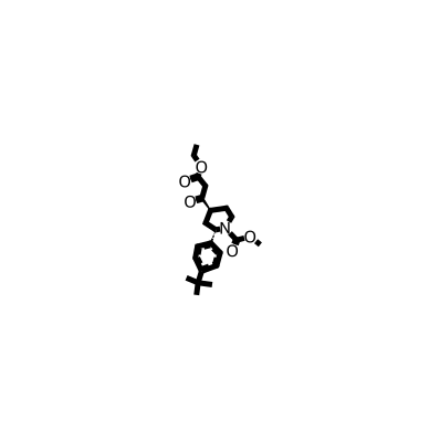 CCOC(=O)CC(=O)[C@H]1CCN(C(=O)OC)[C@H](c2ccc(C(C)(C)C)cc2)C1